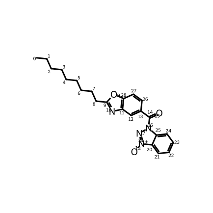 CCCCCCCCCc1nc2cc(C(=O)n3n[n+]([O-])c4ccccc43)ccc2o1